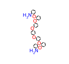 Nc1ccccc1Oc1ccccc1Oc1cccc(Oc2ccc(Oc3cccc(Oc4ccccc4Oc4ccccc4N)c3)cc2)c1